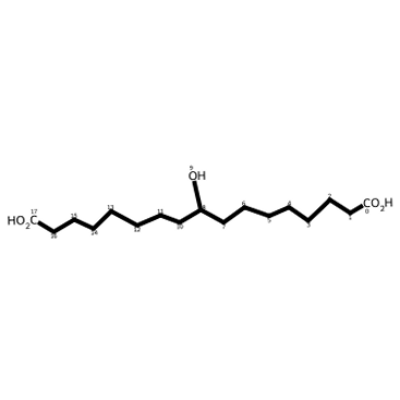 O=C(O)CCCCCCCC(O)CCCCCCCC(=O)O